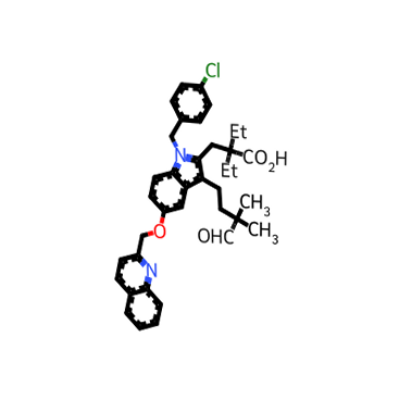 CCC(CC)(Cc1c(CCC(C)(C)C=O)c2cc(OCc3ccc4ccccc4n3)ccc2n1Cc1ccc(Cl)cc1)C(=O)O